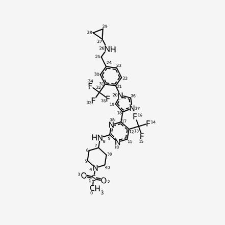 CS(=O)(=O)N1CCC(Nc2ncc(C(F)(F)F)c(-c3cn(-c4ccc(CNC5CC5)cc4C(F)(F)F)cn3)n2)CC1